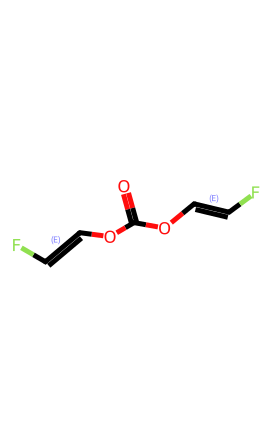 O=C(O/C=C/F)O/C=C/F